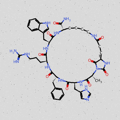 C[C@@H]1C(=O)N[C@@H](Cc2cnc[nH]2)C(=O)N[C@H](Cc2ccccc2)C(=O)N[C@@H](CCCNC(=N)N)C(=O)N[C@@H](Cc2c[nH]c3ccccc23)C(=O)N[C@H](C(N)=O)CCCCNC(=O)CC[C@@H]2NC(=O)N1C2=O